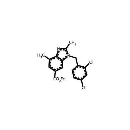 CCOC(=O)c1cc(C)c2nc(C)n(Cc3ccc(Cl)cc3Cl)c2c1